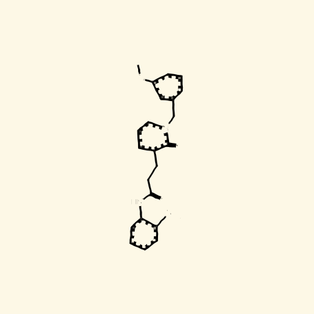 COc1cccc(Cn2cccc(CCC(=O)Nc3ccccc3N)c2=O)c1